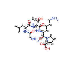 CC(C)C[C@H](NC(=O)CN)C(=O)N[C@H](C(=O)N[C@@H](CCCCN)C(=O)N1CCC[C@H]1C(=O)O)[C@@H](C)O